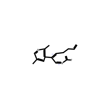 C=CCC/C=C(\C=N/C(=C)F)c1cc(C)cnc1C